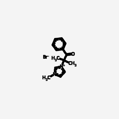 Cn1cc[n+](C(C)(C)C(=O)c2ccccc2)c1.[Br-]